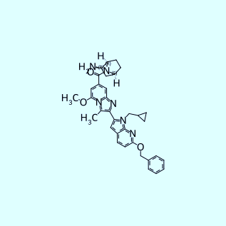 COc1cc(C(=O)N2[C@H]3CC[C@@H]2[C@H](N)C3)cc2nc(-c3cc4ccc(OCc5ccccc5)nc4n3CC3CC3)c(C)n12